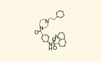 O=C(c1ccc(NS(=O)(=O)c2cccc3cccnc23)cc1)N1CCCN(CCc2ccccc2)CC1